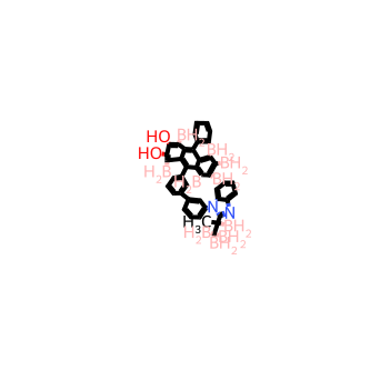 Bc1c(B)c(B)c2c(-c3cccc(-c4cccc(-n5c(C(B)(C)C(B)(B)B)nc6ccccc65)c4)c3)c3c(B)c(O)c(O)c(B)c3c(-c3ccccc3)c2c1B